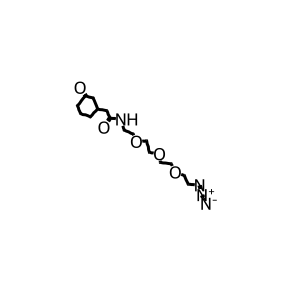 [N-]=[N+]=NCCOCCOCCOCCNC(=O)CC1CCCC(=O)C1